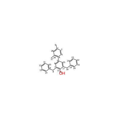 Cc1ccc(-c2cc(Cc3ccccc3)c(O)c(Cc3ccccc3)c2)c(C)c1